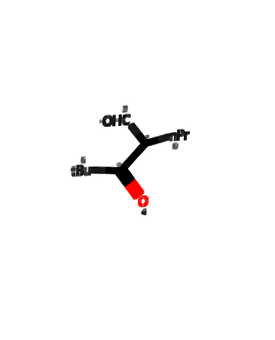 CCCC([C]=O)C(=O)C(C)(C)C